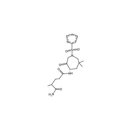 CC(C[CH]C(=O)N[C@H]1CC(C)(C)CN(S(=O)(=O)c2ccccn2)CC1=O)C(N)=O